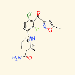 CC[C@@H](N[C@@H](C)CC(N)=O)c1ccc(Cl)c(C(=O)c2cc(C)on2)c1F